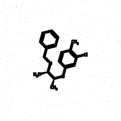 Cc1ccc(O[C@H](C)[C@H](C)OCc2ccccc2)cc1Cl